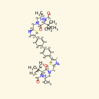 CCCN(Cc1ncc(-c2ccc(-c3ccc(-c4cnc(CN(CCC)C(=O)[C@@H](NC=O)C(C)(C)C)s4)cc3)cc2)s1)C(=O)[C@@H](NC=O)C(C)(C)C